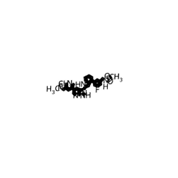 CN(C)Cc1cncc(-c2cnc3[nH]nc(-c4cc5c(-c6cc(F)cc(CNS(C)(=O)=O)c6)cccc5[nH]4)c3c2)c1